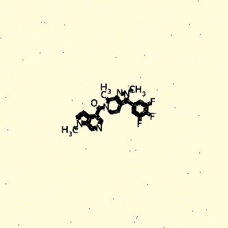 CC1c2nn(C)c(-c3cc(F)c(F)c(F)c3)c2CCN1C(=O)c1cncc2c1ccn2C